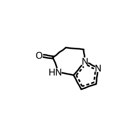 O=C1CCn2nccc2N1